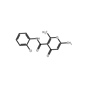 Cc1cc(=O)c(C(=O)Nc2ccccc2Cl)c(C)o1